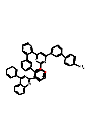 Nc1ccc(-c2cccc(-c3cc(-c4ccccc4-c4cccc(-c5ccccc5-c5nc(C6=CCCC=C6)c6ccccc6n5)c4)nc(-c4ccccc4)n3)c2)cc1